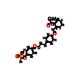 COC(=O)c1ccccc1COc1ccc(CCCOc2ccc(OS(C)(=O)=O)cc2)cc1